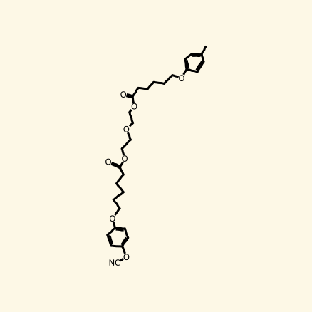 Cc1ccc(OCCCCCC(=O)OCCOCCOC(=O)CCCCCOc2ccc(OC#N)cc2)cc1